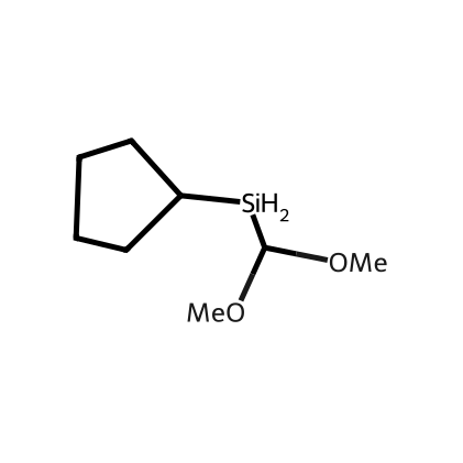 COC(OC)[SiH2]C1CCCC1